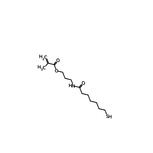 C=C(C)C(=O)OCCCNC(=O)CCCCCCS